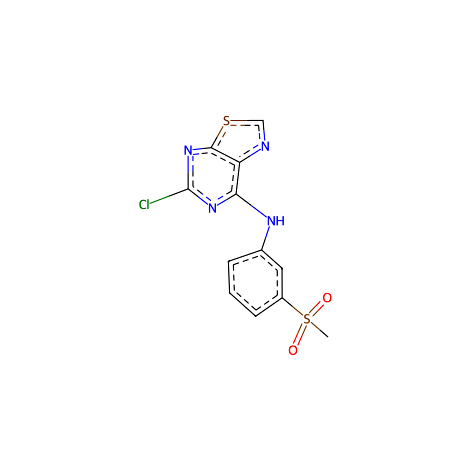 CS(=O)(=O)c1cccc(Nc2nc(Cl)nc3scnc23)c1